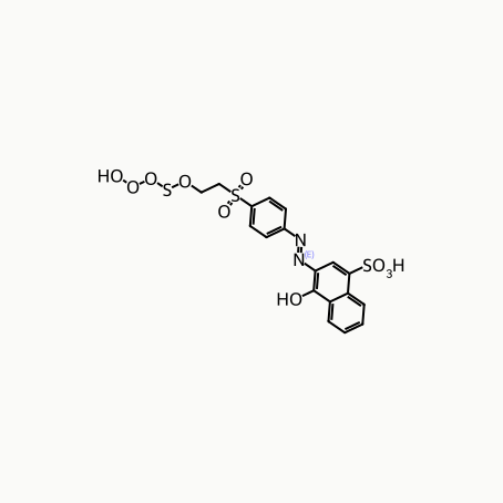 O=S(=O)(O)c1cc(/N=N/c2ccc(S(=O)(=O)CCOSOOO)cc2)c(O)c2ccccc12